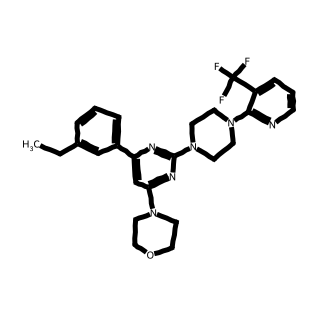 CCc1cccc(-c2cc(N3CCOCC3)nc(N3CCN(c4ncccc4C(F)(F)F)CC3)n2)c1